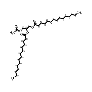 CCCCCCCCCCCCCCC(=O)OCC(COC(C)=O)OC(=O)CCCCCCCCCCCCCC